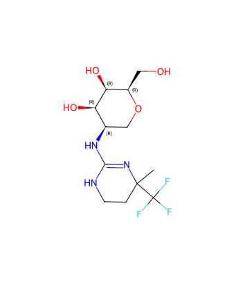 CC1(C(F)(F)F)CCNC(N[C@@H]2CO[C@H](CO)[C@H](O)[C@@H]2O)=N1